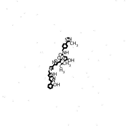 Cc1ncsc1-c1ccc(CNC(=O)[C@@H]2C[C@@H](O)CN2C(=O)[C@@H](c2cc(C3CN(Cc4cc5cc(-c6ccccc6O)nnc5[nH]4)C3)no2)C(C)C)cc1